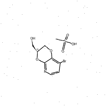 CS(=O)(=O)O.OC[C@H]1COc2c(Br)ccnc2O1